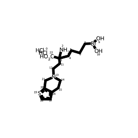 Cl.Cl.NC(CCCCB(O)O)(CCN1CCc2ccsc2C1)C(=O)O